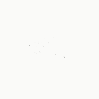 CCCCOc1nc(N)c2[nH]c(=O)n(C(CCCN3CCN(C4CCCC4)CC3)N3CCN(C4CCCC4)CC3)c2n1